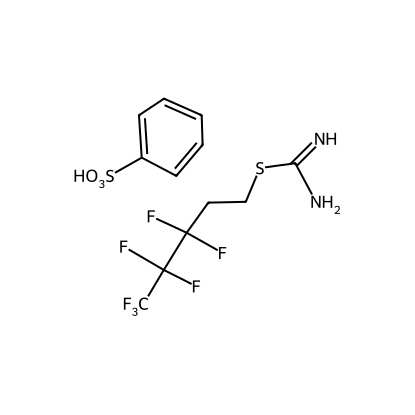 N=C(N)SCCC(F)(F)C(F)(F)C(F)(F)F.O=S(=O)(O)c1ccccc1